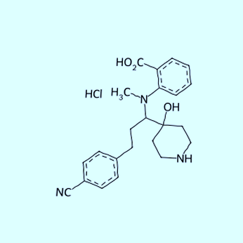 CN(c1ccccc1C(=O)O)C(CCc1ccc(C#N)cc1)C1(O)CCNCC1.Cl